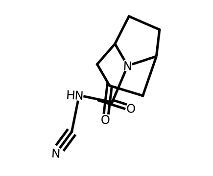 N#CNC(=O)N1C2CCC1CC(=O)C2